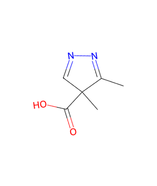 CC1=NN=CC1(C)C(=O)O